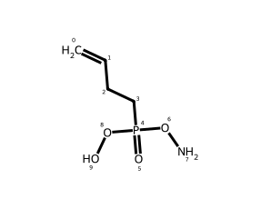 C=CCCP(=O)(ON)OO